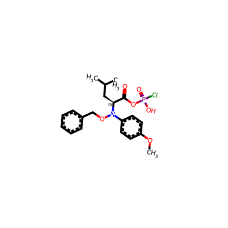 COc1ccc(N(OCc2ccccc2)[C@@H](CC(C)C)C(=O)OP(=O)(O)Cl)cc1